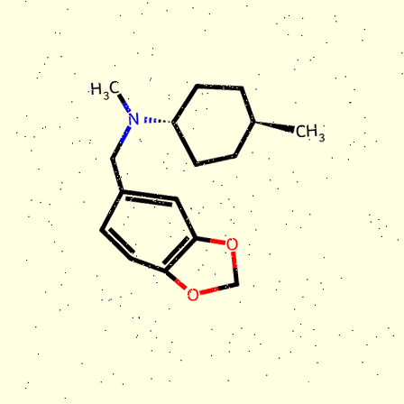 CN(Cc1ccc2c(c1)OCO2)[C@H]1CC[C@H](C)CC1